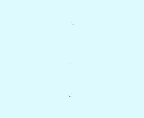 O=C(CCCCC(=O)OCCOCCOCCOCCOCc1ccccc1)OCCOCCOCCOCCOCc1ccccc1